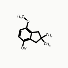 COc1ccc(O)c2c1CC(C)(C)C2